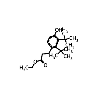 CCOC(=O)CCc1ccc(O)c(C(C)(C)C)c1C(C)(C)C